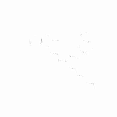 COc1ccc2[nH]c(C)c(CC(=O)N[C@@H](CCCCCC(C)=O)C(=O)Nc3cccc(C(F)(F)F)c3)c2c1